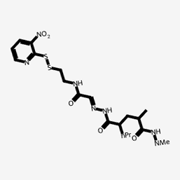 CCCC(CC(C)C(=O)NNC)C(=O)N/N=C/C(=O)NCCSSc1ncccc1[N+](=O)[O-]